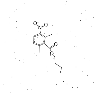 CCCCOC(=O)c1c(C)ccc([N+](=O)[O-])c1C